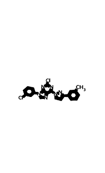 Cc1cccc(-c2ccn(-c3nc(Cl)nc4c3ncn4-c3cccc(Cl)c3)n2)c1